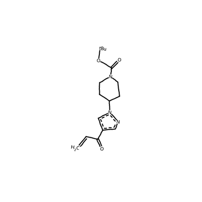 C=CC(=O)c1cnn(C2CCN(C(=O)OC(C)(C)C)CC2)c1